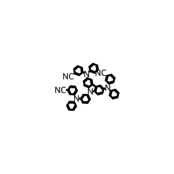 N#Cc1cccc(N(c2ccccc2)c2cccc(-n3c4ccc(N(c5ccccc5)c5cccc(C#N)c5)cc4c4cc(N(c5ccccc5)c5cccc(C#N)c5)ccc43)c2)c1